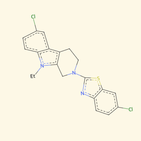 CCn1c2c(c3cc(Cl)ccc31)CCN(c1nc3ccc(Cl)cc3s1)C2